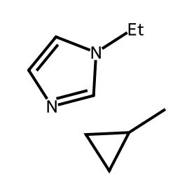 CC1CC1.CCn1ccnc1